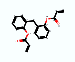 C=CC(=O)Oc1ccccc1Cc1ccccc1OC(=O)C=C